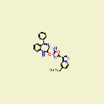 COCc1ccn2ncc(-c3nnc(N[C@H]4N=C(c5ccccc5)c5ccccc5NC4=O)o3)c2c1